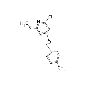 CSc1nc(Cl)cc(OCc2ccc(C)cc2)n1